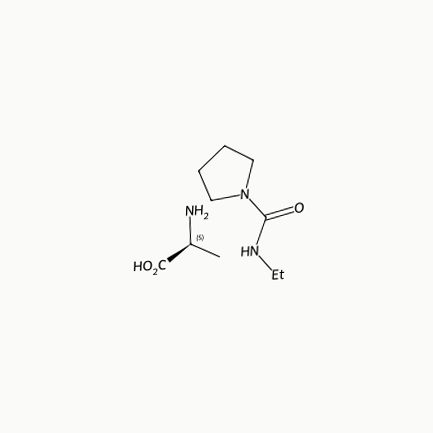 CCNC(=O)N1CCCC1.C[C@H](N)C(=O)O